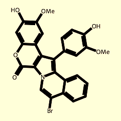 COc1cc(-c2c3c4cc(OC)c(O)cc4oc(=O)c3n3cc(Br)c4ccccc4c23)ccc1O